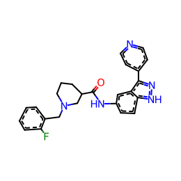 O=C(Nc1ccc2[nH]nc(-c3ccncc3)c2c1)C1CCCN(Cc2ccccc2F)C1